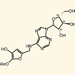 COc1oc(CNc2ncnc3c2ncn3C2O[C@H](CO)[C@@H](O)[C@@H]2O)cc1O